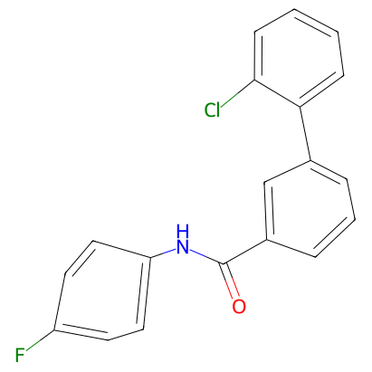 O=C(Nc1ccc(F)cc1)c1cccc(-c2ccccc2Cl)c1